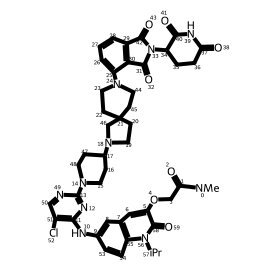 CNC(=O)COc1cc2cc(Nc3nc(N4CCC(N5CCC6(CCN(c7cccc8c7C(=O)N(C7CCC(=O)NC7=O)C8=O)CC6)C5)CC4)ncc3Cl)ccc2n(C(C)C)c1=O